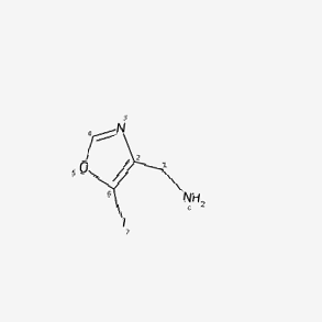 NCc1ncoc1I